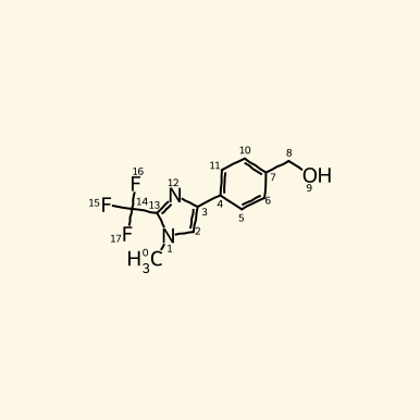 Cn1cc(-c2ccc(CO)cc2)nc1C(F)(F)F